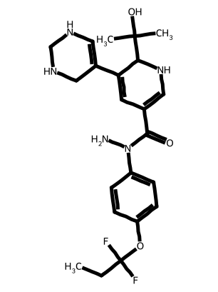 CCC(F)(F)Oc1ccc(N(N)C(=O)C2=CNC(C(C)(C)O)C(C3=CNCNC3)=C2)cc1